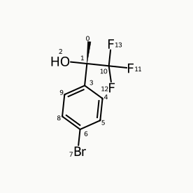 C[C@](O)(c1ccc(Br)cc1)C(F)(F)F